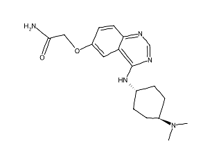 CN(C)[C@H]1CC[C@H](Nc2ncnc3ccc(OCC(N)=O)cc23)CC1